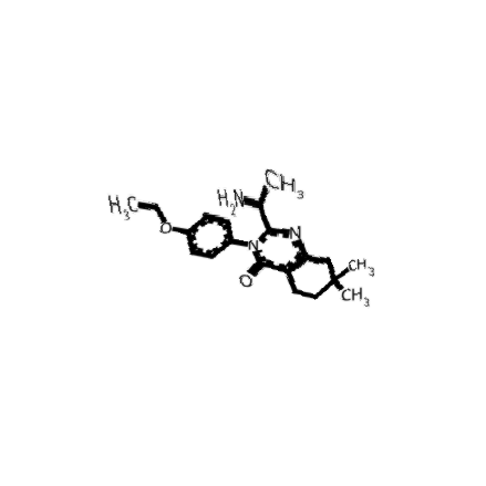 CCOc1ccc(-n2c(C(C)N)nc3c(c2=O)CCC(C)(C)C3)cc1